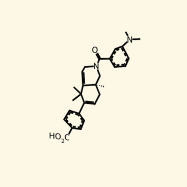 CN(C)c1cccc(C(=O)N2CC=C3C(C)(C)C(c4ccc(C(=O)O)cc4)=CC[C@]3(C)C2)c1